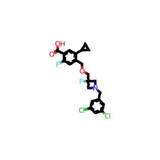 O=C(O)c1cc(C2CC2)c(COCC2(F)CN(Cc3cc(Cl)cc(Cl)c3)C2)cc1F